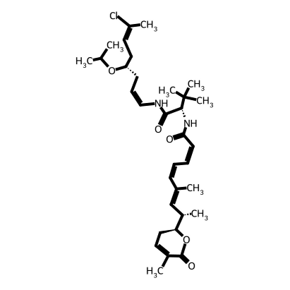 CC1=CC[C@@H]([C@@H](C)/C=C(C)/C=C\C=C/C(=O)N[C@H](C(=O)N/C=C\C[C@@H](C/C=C(\C)Cl)OC(C)C)C(C)(C)C)OC1=O